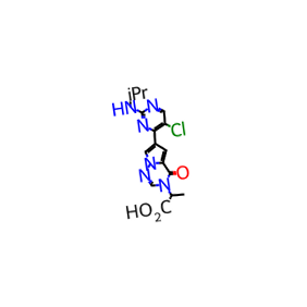 CC(C)Nc1ncc(Cl)c(-c2cc3c(=O)n(C(C)C(=O)O)cnn3c2)n1